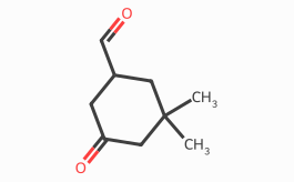 CC1(C)CC(=O)CC(C=O)C1